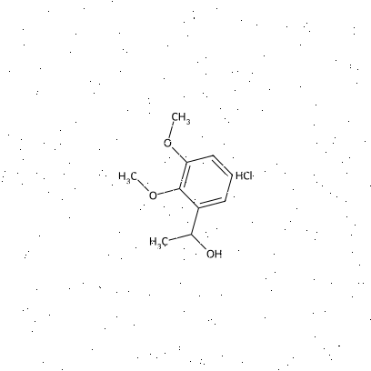 COc1cccc(C(C)O)c1OC.Cl